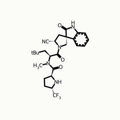 CN(C(=O)[C@@H]1CC[C@@H](C(F)(F)F)N1)[C@@H](CC(C)(C)C)C(=O)N1C[C@]2(C[C@H]1C#N)C(=O)Nc1ccccc12